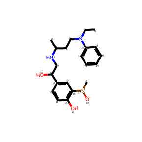 CCN(CCC(C)NCC(O)c1ccc(O)c([S+](C)[O-])c1)c1ccccc1